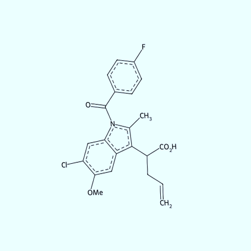 C=CCC(C(=O)O)c1c(C)n(C(=O)c2ccc(F)cc2)c2cc(Cl)c(OC)cc12